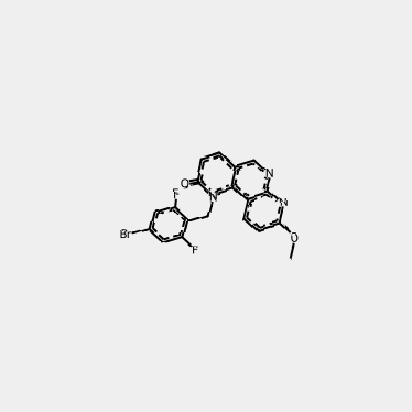 COc1ccc2c(ncc3ccc(=O)n(Cc4c(F)cc(Br)cc4F)c32)n1